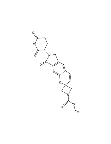 CC(C)(C)OC(=O)N1CC2(C=Cc3cc4c(cc3O2)C(=O)N(C2CCC(=O)NC2=O)C4)C1